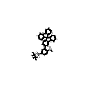 CNc1ccc(B2OC(C)(C)C(C)(C)O2)cc1-c1ccc2c(c1)-c1ccccc1C21c2ccccc2-c2ccccc21